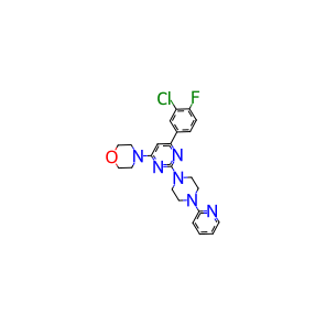 Fc1ccc(-c2cc(N3CCOCC3)nc(N3CCN(c4ccccn4)CC3)n2)cc1Cl